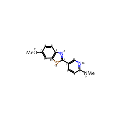 CNc1ccc(-c2nc3ccc(OC)cc3s2)cn1